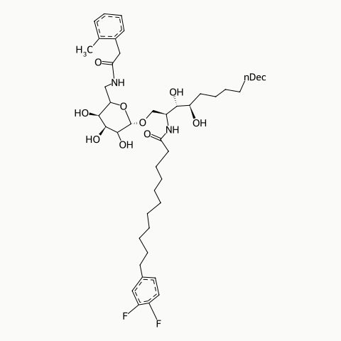 CCCCCCCCCCCCCC[C@@H](O)[C@@H](O)[C@H](CO[C@H]1OC(CNC(=O)Cc2ccccc2C)[C@H](O)[C@H](O)C1O)NC(=O)CCCCCCCCCCc1ccc(F)c(F)c1